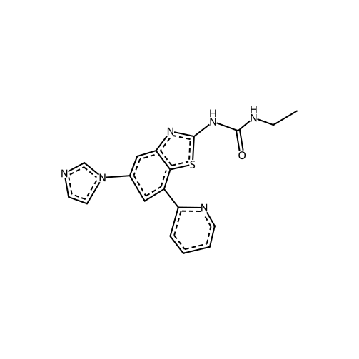 CCNC(=O)Nc1nc2cc(-n3ccnc3)cc(-c3ccccn3)c2s1